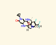 C[C@@H](NC(=O)c1cn(C23CC(C2)C3)c(=O)cc1NC1[C@H]2CN(C(=O)O)C[C@@H]12)c1cccc(C(F)F)c1F